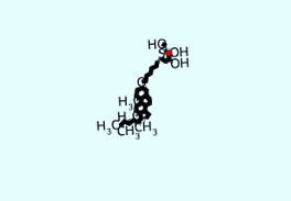 CC(C)CCC[C@@H](C)[C@H]1CCC2C3CC=C4C[C@@H](OCCCCCC[C@H]5C[C@@H](O)[C@@H](O)[C@@H](CO)S5)CC[C@]4(C)C3CC[C@@]21C